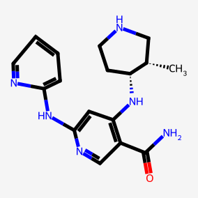 C[C@H]1CNCC[C@H]1Nc1cc(Nc2ccccn2)ncc1C(N)=O